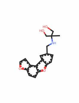 CC(CO)(CO)NCc1ccc2oc3ccc4occc4c3c2c1